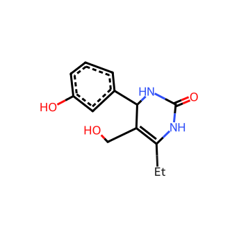 CCC1=C(CO)C(c2cccc(O)c2)NC(=O)N1